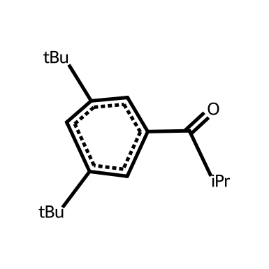 CC(C)C(=O)c1cc(C(C)(C)C)cc(C(C)(C)C)c1